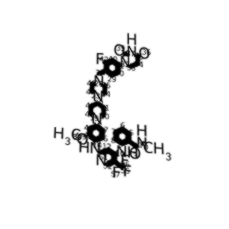 CNC(=O)c1ccccc1Nc1cc(Nc2ccc(N3CCC(N4CCN(Cc5ccc(N6CCC(=O)NC6=O)cc5F)CC4)CC3)cc2OC)ncc1C(F)(F)F